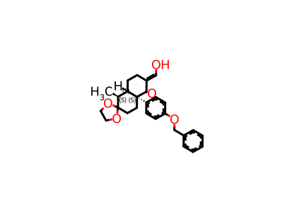 C[C@H]1[C@@H]2CCC(=CO)C(=O)[C@@]2(c2ccc(OCc3ccccc3)cc2)CCC12OCCO2